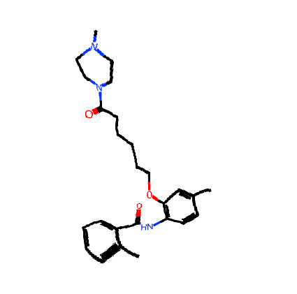 Cc1ccc(NC(=O)c2ccccc2C)c(OCCCCCC(=O)N2CCN(C)CC2)c1